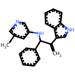 C=C(c1c[nH]c2ccccc12)C(Nc1cncc(C)c1)c1ccccc1